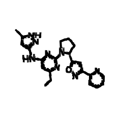 CCc1cc(Nc2cc(C)[nH]n2)nc(N2CCC[C@H]2c2cc(-c3ccccn3)no2)n1